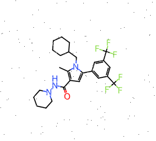 Cc1c(C(=O)NN2CCCCC2)cc(-c2cc(C(F)(F)F)cc(C(F)(F)F)c2)n1CC1CCCCC1